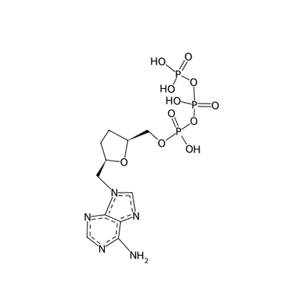 Nc1ncnc2c1ncn2C[C@H]1CC[C@@H](COP(=O)(O)OP(=O)(O)OP(=O)(O)O)O1